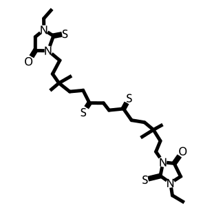 CCN1CC(=O)N(CCC(C)(C)CCC(=S)CCC(=S)CCC(C)(C)CCN2C(=O)CN(CC)C2=S)C1=S